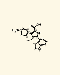 CCc1c(-c2cccc3[nH]ccc23)[nH]c(C(=O)O)c1-c1ccc(N)cc1